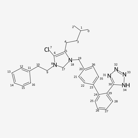 CC(C)CCC1=C(Cl)N(CCc2ccccc2)CN1Cc1ccc(-c2ccccc2-c2nnn[nH]2)cc1